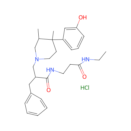 CCNC(=O)CCNC(=O)C(Cc1ccccc1)CN1CCC(C)(c2cccc(O)c2)C(C)C1.Cl